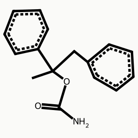 CC(Cc1ccccc1)(OC(N)=O)c1ccccc1